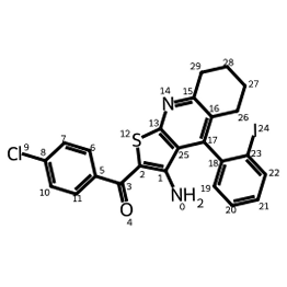 Nc1c(C(=O)c2ccc(Cl)cc2)sc2nc3c(c(-c4ccccc4I)c12)CCCC3